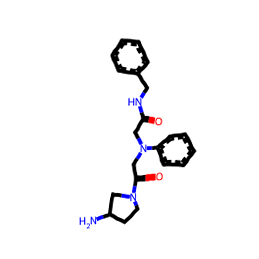 NC1CCN(C(=O)CN(CC(=O)NCc2ccccc2)c2ccccc2)C1